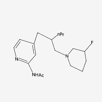 CCCC(Cc1ccnc(NC(C)=O)c1)CN1CCCC(F)C1